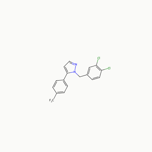 FC(F)(F)c1ccc(-c2c[c]nn2Cc2ccc(Cl)c(Cl)c2)cc1